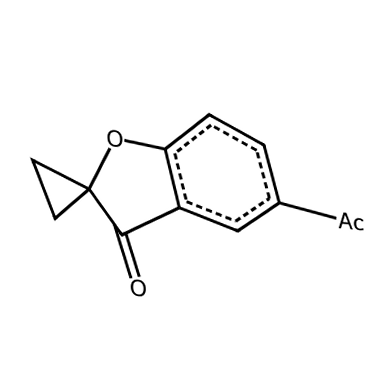 CC(=O)c1ccc2c(c1)C(=O)C1(CC1)O2